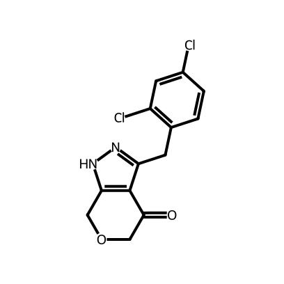 O=C1COCc2[nH]nc(Cc3ccc(Cl)cc3Cl)c21